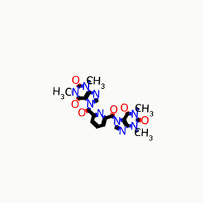 Cn1c(=O)c2c(ncn2C(=O)c2cccc(C(=O)n3cnc4c3c(=O)n(C)c(=O)n4C)n2)n(C)c1=O